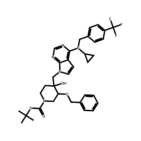 CC(C)(C)OC(=O)N1CCC(O)(Cn2ccc3c(N(Cc4ccc(C(F)(F)F)cc4)C4CC4)ncnc32)C(OCc2ccccc2)C1